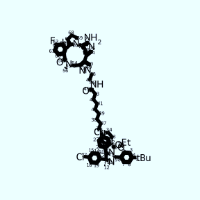 CCOc1cc(C(C)(C)C)ccc1C1=N[C@@](C)(c2ccc(Cl)cc2)[C@@](C)(c2ccc(Cl)cc2)N1C(=O)N1CCN(CCCCCCCCC(=O)NCCn2cc3c(n2)CN(C)C(=O)c2ccc(F)cc2[C@H]2CCCN2c2cc-3cnc2N)CC1